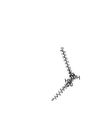 CCCCCCCCCCCCCCSCC(=O)NCC(CO)SC(=O)CSCCCCCCCCCCCCCC